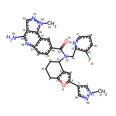 Cn1cc(-c2cc3c(o2)CCCC3N(Cc2ncccc2F)C(=O)c2ccc3nc(N)c4cnn(C)c4c3c2)cn1